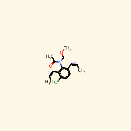 C/C=C\c1ccc(Cl)c(/C=C\C)c1N(COC)C(C)=O